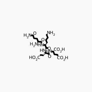 NCCCC[C@H](NC(=O)[C@@H](N)CCC(N)=O)C(=O)N[C@@H](CCC(=O)O)C(=O)N[C@@H](CCC(=O)O)C(=O)O